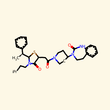 CC(C)CCN1C(=O)C(CC(=O)N2CCC(N3CCc4ccccc4NC3=O)CC2)SC1[C@@H](C)c1ccccc1